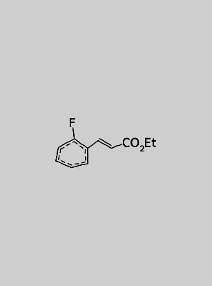 CCOC(=O)C=Cc1ccccc1F